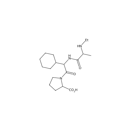 CCNC(C)C(=O)NC(C(=O)N1CCCC1C(=O)O)C1CCCCC1